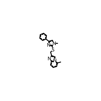 Cc1cccc2nc(CSc3nc(-c4ccccc4)cn3C)cn12